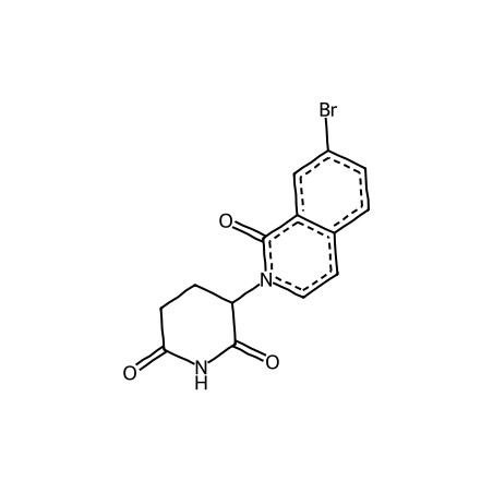 O=C1CCC(n2ccc3ccc(Br)cc3c2=O)C(=O)N1